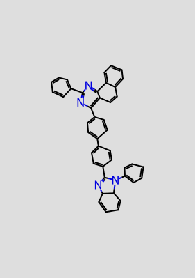 C1=CC2N=C(c3ccc(-c4ccc(-c5nc(-c6ccccc6)nc6c5ccc5ccccc56)cc4)cc3)N(c3ccccc3)C2C=C1